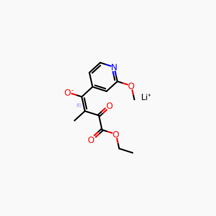 CCOC(=O)C(=O)/C(C)=C(/[O-])c1ccnc(OC)c1.[Li+]